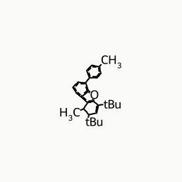 Cc1ccc(-c2cccc3c4c(oc23)C(C(C)(C)C)=CC(C(C)(C)C)C4C)cc1